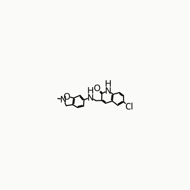 CN1Cc2ccc(NCc3cc4cc(Cl)ccc4[nH]c3=O)cc2O1